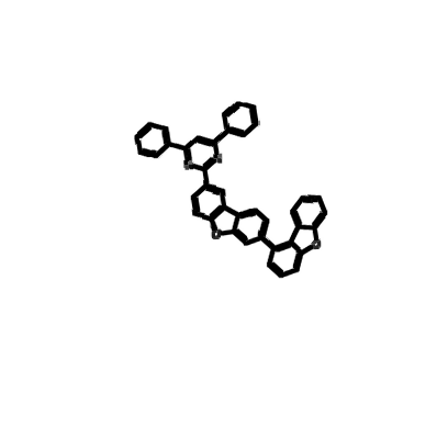 c1ccc(-c2cc(-c3ccccc3)nc(-c3ccc4oc5cc(-c6cccc7oc8ccccc8c67)ccc5c4c3)n2)cc1